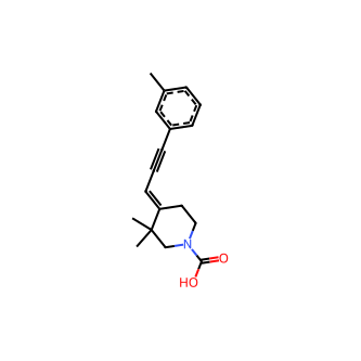 Cc1cccc(C#C/C=C2\CCN(C(=O)O)CC2(C)C)c1